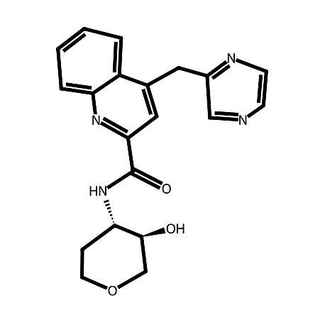 O=C(N[C@H]1CCOC[C@@H]1O)c1cc(Cc2cnccn2)c2ccccc2n1